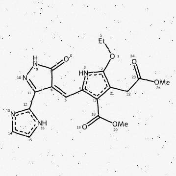 CCOc1[nH]c(C=C2C(=O)NN=C2c2ncc[nH]2)c(C(=O)OC)c1CC(=O)OC